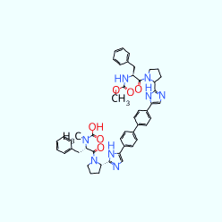 COC(=O)N[C@@H](Cc1ccccc1)C(=O)N1CCCC1c1ncc(-c2ccc(-c3ccc(-c4cnc([C@@H]5CCCN5C(=O)[C@H](Cc5ccccc5)N(C)C(=O)O)[nH]4)cc3)cc2)[nH]1